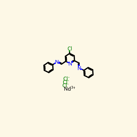 Clc1cc(C=Nc2ccccc2)nc(C=Nc2ccccc2)c1.[Cl-].[Cl-].[Cl-].[Nd+3]